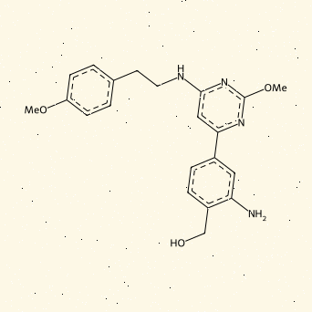 COc1ccc(CCNc2cc(-c3ccc(CO)c(N)c3)nc(OC)n2)cc1